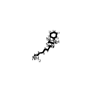 NCCCCCCc1nc(NC2CCCCC2)c([N+](=O)[O-])s1